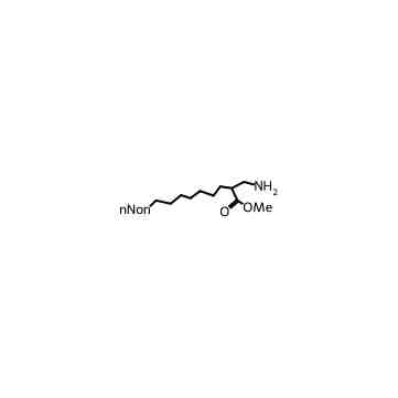 CCCCCCCCCCCCCCCCC(CN)C(=O)OC